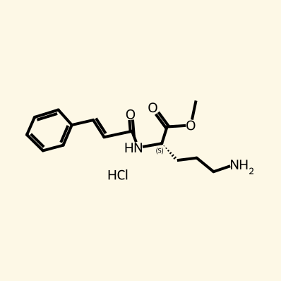 COC(=O)[C@H](CCCN)NC(=O)C=Cc1ccccc1.Cl